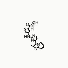 Cc1nc2ccccn2c1-c1ccnc(Nc2csc(C(=O)NO)c2)n1